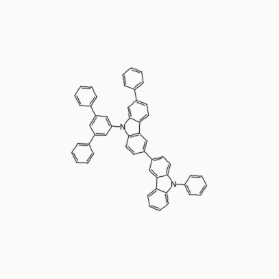 c1ccc(-c2cc(-c3ccccc3)cc(-n3c4ccc(-c5ccc6c(c5)c5ccccc5n6-c5ccccc5)cc4c4ccc(-c5ccccc5)cc43)c2)cc1